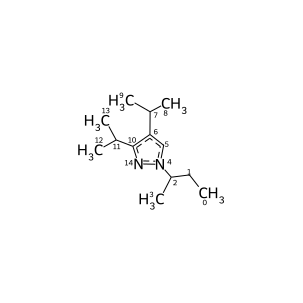 CCC(C)n1cc(C(C)C)c(C(C)C)n1